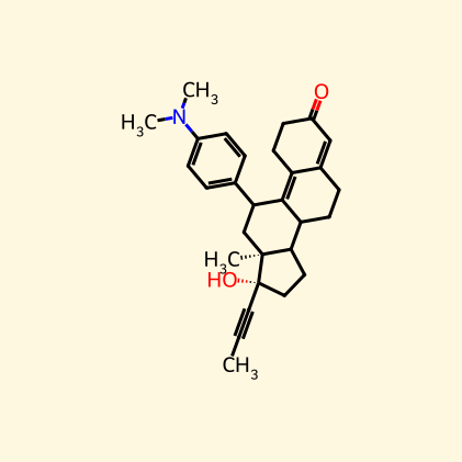 CC#C[C@]1(O)CCC2C3CCC4=CC(=O)CCC4=C3C(c3ccc(N(C)C)cc3)C[C@@]21C